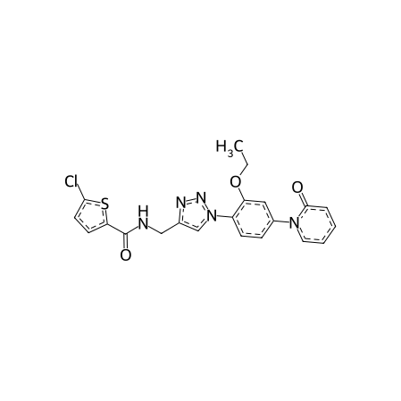 CCOc1cc(-n2ccccc2=O)ccc1-n1cc(CNC(=O)c2ccc(Cl)s2)nn1